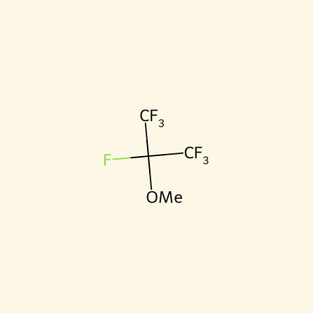 [CH2]OC(F)(C(F)(F)F)C(F)(F)F